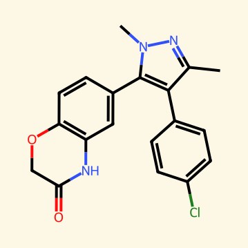 Cc1nn(C)c(-c2ccc3c(c2)NC(=O)CO3)c1-c1ccc(Cl)cc1